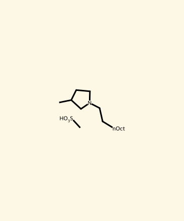 CCCCCCCCCCN1CCC(C)C1.CS(=O)(=O)O